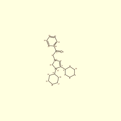 O=C(CN1C=C(C2CCCCC2)N(C2CCCCC2)C1)c1ccccc1